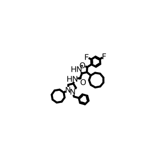 O=C(NC1CN(Cc2ccccc2)N(C2CCCCCCC2)C1)C1NOC(c2ccc(F)cc2F)C1C1CCCCCCCC1